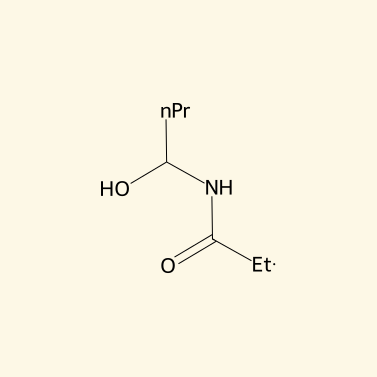 C[CH]C(=O)NC(O)CCC